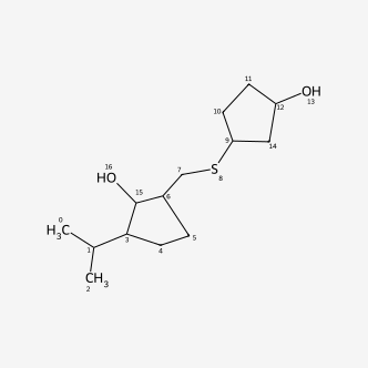 CC(C)C1CCC(CSC2CCC(O)C2)C1O